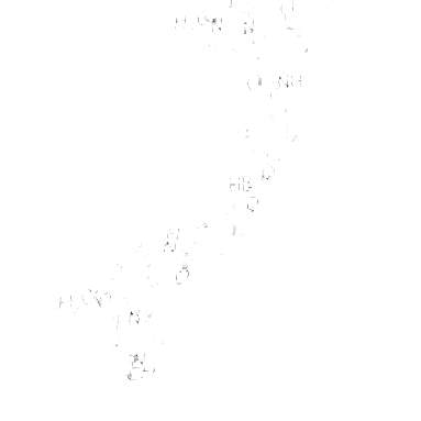 COc1ccc(NC(=O)c2ccc(OBOc3ccc(C(=O)Nc4ccc(OC)c(N5CCN(C)CC5)c4)cc3)cc2)cc1N1CCN(C)CC1